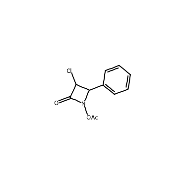 CC(=O)ON1C(=O)C(Cl)C1c1ccccc1